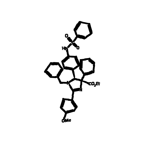 CCOC(=O)[C@@]1(c2ccccc2)N=C(c2ccc(OC)cc2)N(Cc2ccccc2)[C@H]1c1ccc(NS(=O)(=O)c2ccccc2)cc1